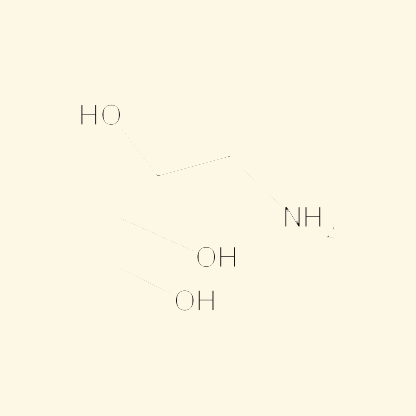 CO.CO.NCCO